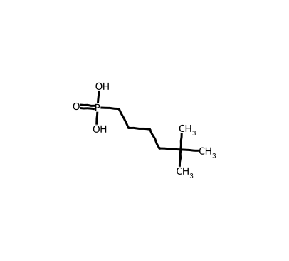 CC(C)(C)CCCCP(=O)(O)O